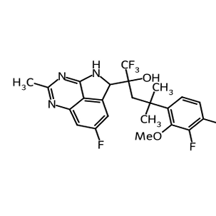 COc1c(C(C)(C)CC(O)(C2Nc3nc(C)nc4cc(F)cc2c34)C(F)(F)F)ccc(Cl)c1F